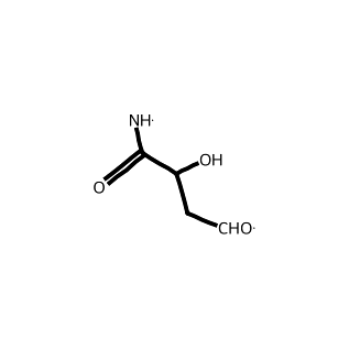 [NH]C(=O)C(O)C[C]=O